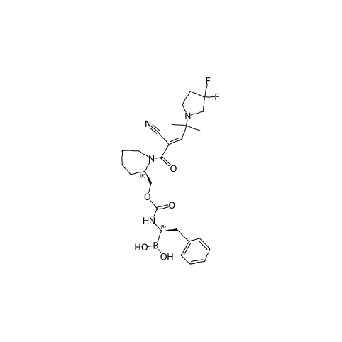 CC(C)(C=C(C#N)C(=O)N1CCCC[C@@H]1COC(=O)N[C@@H](Cc1ccccc1)B(O)O)N1CCC(F)(F)C1